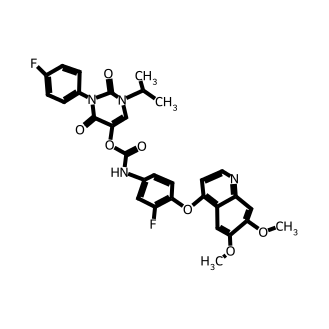 COc1cc2nccc(Oc3ccc(NC(=O)Oc4cn(C(C)C)c(=O)n(-c5ccc(F)cc5)c4=O)cc3F)c2cc1OC